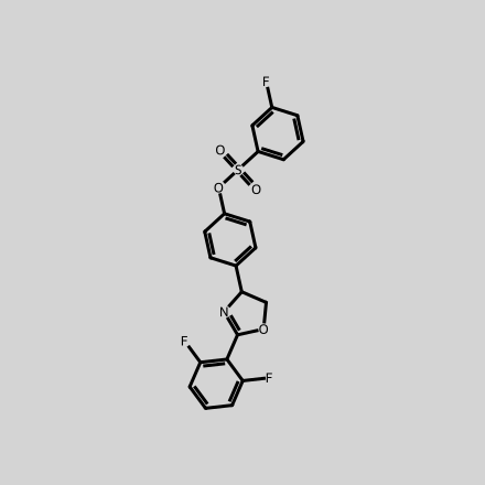 O=S(=O)(Oc1ccc(C2COC(c3c(F)cccc3F)=N2)cc1)c1cccc(F)c1